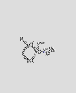 CCOCCOCCN1CCOCCOCCNc2ccc(C)cc2OCCN(c2ccc(/C=C/C3=C(C#N)C(=C(C#N)C#N)OC3(C)C)cc2OCCOC)CCOc2cc(C)ccc21